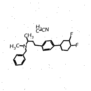 CC#N.CC(CCc1ccc(C2CCC(F)C(F)C2)cc1)N(C)Cc1ccccc1